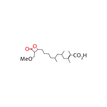 COCC1C(=O)OC1CCCCC(C)CC(C)CC(C)=C(C)C(=O)O